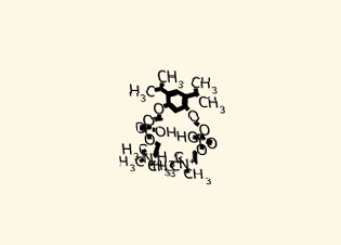 CC(C)c1cc(C(C)C)c(OCOP(=O)(O)OCC[N+](C)(C)C)cc1OCOP(=O)(O)OCC[N+](C)(C)C